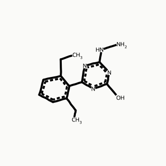 CCc1cccc(CC)c1-c1nc(O)nc(NN)n1